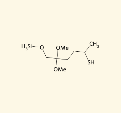 COC(CCC(C)S)(CO[SiH3])OC